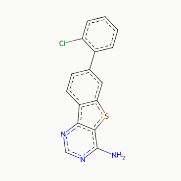 Nc1ncnc2c1sc1cc(-c3ccccc3Cl)ccc12